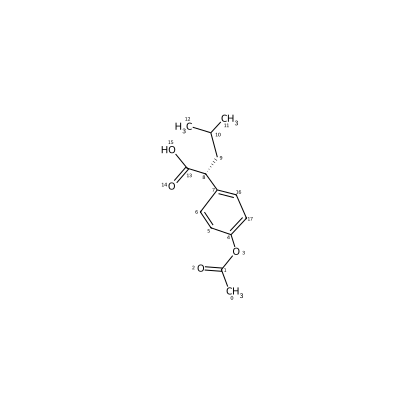 CC(=O)Oc1ccc([C@@H](CC(C)C)C(=O)O)cc1